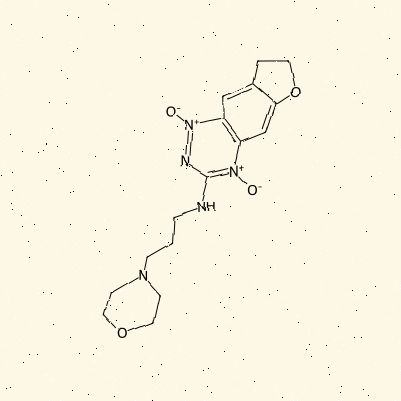 [O-][n+]1nc(NCCCN2CCOCC2)[n+]([O-])c2cc3c(cc21)CCO3